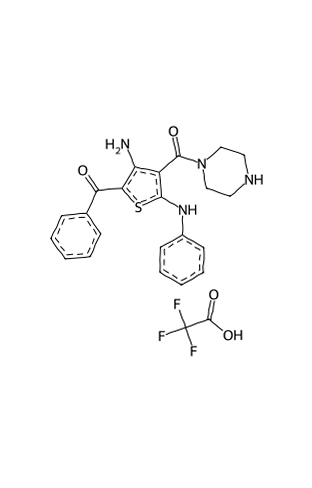 Nc1c(C(=O)c2ccccc2)sc(Nc2ccccc2)c1C(=O)N1CCNCC1.O=C(O)C(F)(F)F